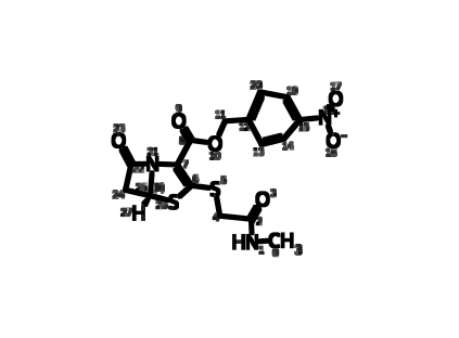 CNC(=O)CSC1=C(C(=O)OCc2ccc([N+](=O)[O-])cc2)N2C(=O)C[C@H]2S1